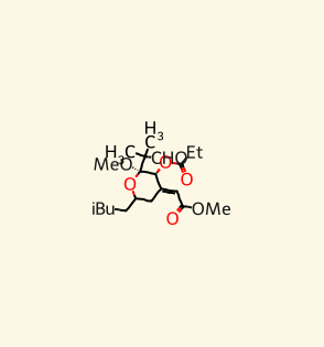 CCC(=O)O[C@H]1/C(=C/C(=O)OC)CC(CC(C)CC)O[C@@]1(OC)C(C)(C)C=O